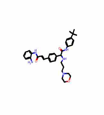 CC(C)(C)c1ccc(NC(=O)C(NCCCN2CCOCC2)c2ccc(C=CC(=O)Nc3ccccc3N)cc2)cc1